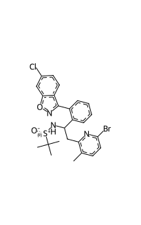 Cc1ccc(Br)nc1CC(N[S@@+]([O-])C(C)(C)C)c1ccccc1-c1noc2cc(Cl)ccc12